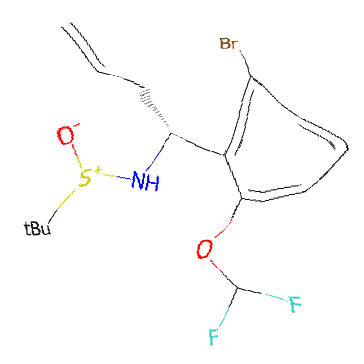 C=CC[C@@H](N[S+]([O-])C(C)(C)C)c1c(Br)cccc1OC(F)F